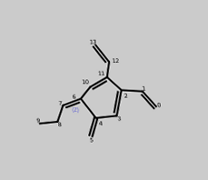 C=Cc1cc(=C)/c(=C\CC)cc1C=C